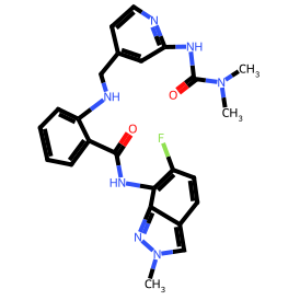 CN(C)C(=O)Nc1cc(CNc2ccccc2C(=O)Nc2c(F)ccc3cn(C)nc23)ccn1